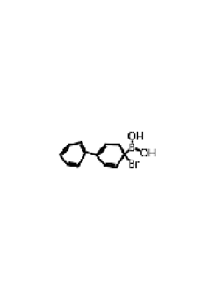 OB(O)C1(Br)C=CC(c2ccccc2)=CC1